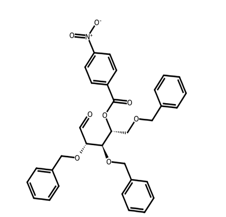 O=C[C@@H](OCc1ccccc1)[C@H](OCc1ccccc1)[C@@H](COCc1ccccc1)OC(=O)c1ccc([N+](=O)[O-])cc1